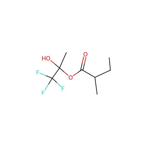 CCC(C)C(=O)OC(C)(O)C(F)(F)F